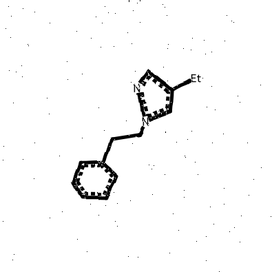 CCc1cnn(CCc2ccccc2)c1